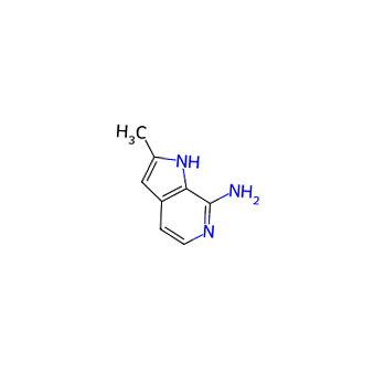 Cc1cc2ccnc(N)c2[nH]1